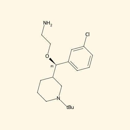 CC(C)(C)N1CCCC([C@@H](OCCN)c2cccc(Cl)c2)C1